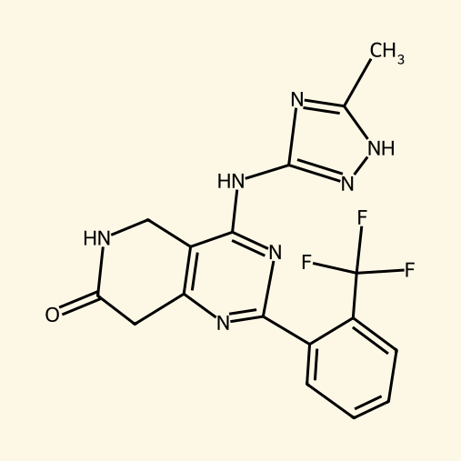 Cc1nc(Nc2nc(-c3ccccc3C(F)(F)F)nc3c2CNC(=O)C3)n[nH]1